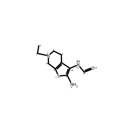 CCN1CCc2c(sc(N)c2NC=O)C1